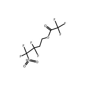 O=C(OCCC(F)(F)C(F)(F)[SH](=O)=O)C(F)(F)F